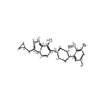 COc1c(Br)cc(F)cc1C1CCN(c2ccn3c(CC4CC4)nnc3c2Cl)CC1